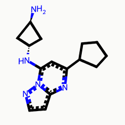 N[C@H]1C[C@H](Nc2cc(C3CCCC3)nc3ccnn23)C1